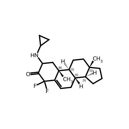 C[C@@]12CCC[C@H]1[C@@H]1CC=C3C(F)(F)C(=O)C(NC4CC4)C[C@]3(C)[C@H]1CC2